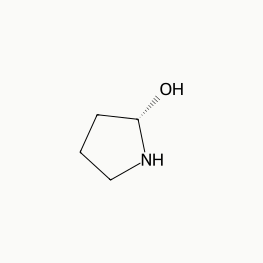 O[C@H]1CCCN1